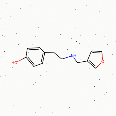 Oc1ccc(CCNCc2ccoc2)cc1